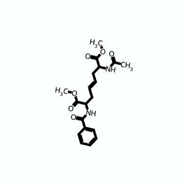 COC(=O)C(CC=CCC(NC(=O)c1ccccc1)C(=O)OC)NC(C)=O